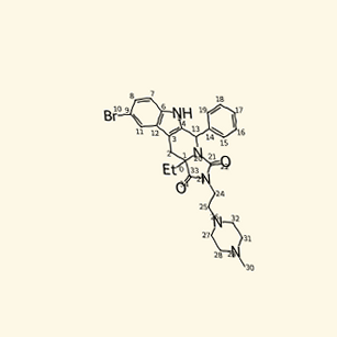 CCC12Cc3c([nH]c4ccc(Br)cc34)C(c3ccccc3)N1C(=O)N(CCN1CCN(C)CC1)C2=O